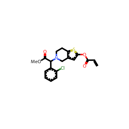 C=CC(=O)Oc1cc2c(s1)CCN(C(C(=O)OC)c1ccccc1Cl)C2